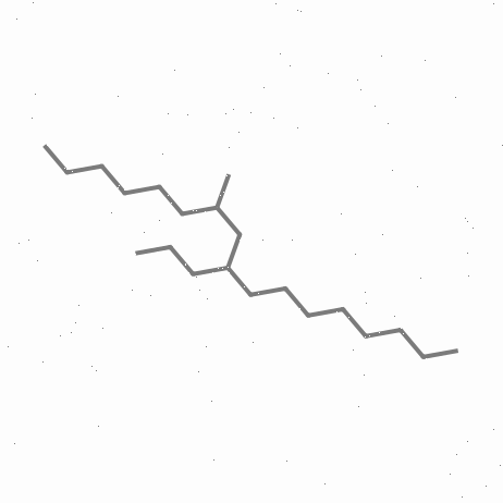 CCCCCCCCC(CCC)CC(C)CCCCCC